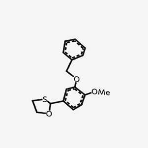 COc1ccc(C2OCCS2)cc1OCc1ccccc1